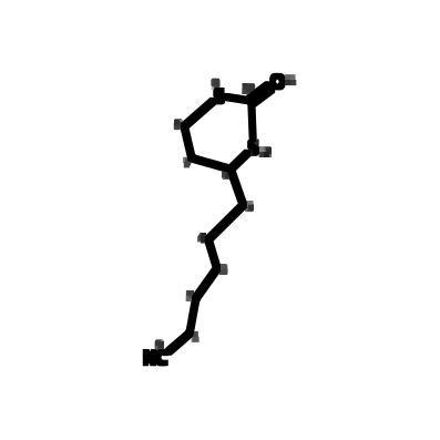 N#CCCCCCC1CCSC(=O)S1